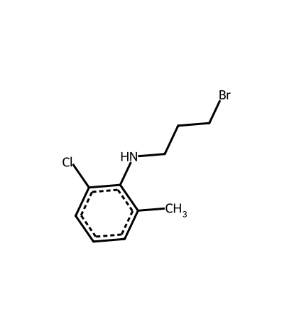 Cc1cccc(Cl)c1NCCCBr